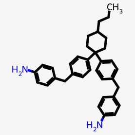 CCCC1CCC(c2ccc(Cc3ccc(N)cc3)cc2)(c2ccc(Cc3ccc(N)cc3)cc2)CC1